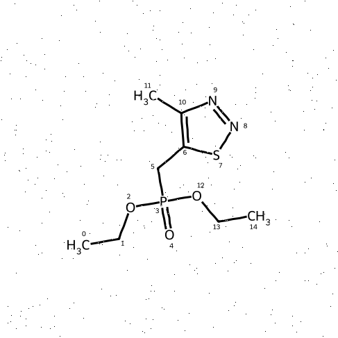 CCOP(=O)(Cc1snnc1C)OCC